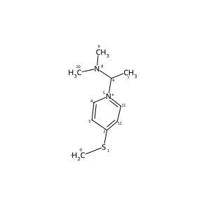 [CH2]Sc1cc[n+](C(C)N(C)C)cc1